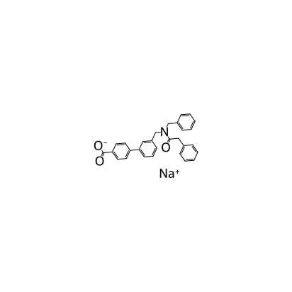 O=C([O-])c1ccc(-c2cccc(CN(Cc3ccccc3)C(=O)Cc3ccccc3)c2)cc1.[Na+]